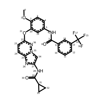 COc1ccc(NC(=O)c2cccc(C(F)(F)F)c2)cc1Oc1ccc2nc(NC(=O)C3CC3)cn2n1